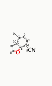 Cc1ccc(C#N)c2occc12